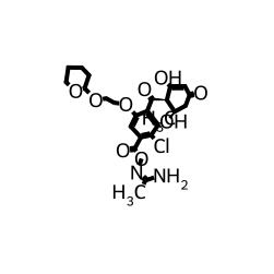 C/C(N)=N/OC(=O)c1cc(OCCOC2CCCCO2)c(C(=O)[C@H]2C(O)=CC(=O)C[C@H]2C)c(O)c1Cl